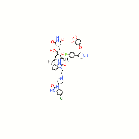 C[C@@H]1C[C@@H]([C@H](O)CC2CC(=O)NC(=O)C2)C(=O)[C@@H](C)C1.Fc1ccc([C@@H]2CCNC[C@H]2COc2ccc3c(c2)OCO3)cc1.O=c1[nH]c2ccccc2n1CCCN1CCC(n2c(=O)[nH]c3cc(Cl)ccc32)CC1